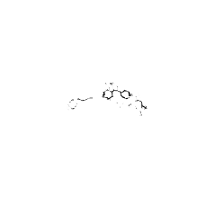 COc1cc2c(-c3ccc(NC(=O)Cc4cscn4)cc3)ncnc2cc1OCCCN1CCN(C)CC1